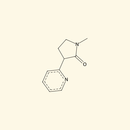 CN1CCC(c2ccccn2)C1=O